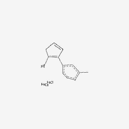 Cc1cccc(C2=[C]([Hf])CC=C2)c1.Cl.Cl